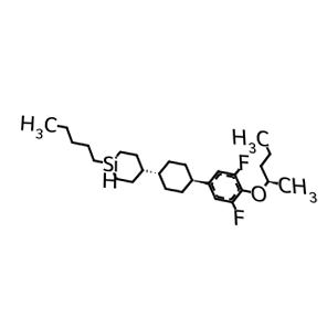 CCCCC[SiH]1CCC([C@H]2CC[C@H](c3cc(F)c(O[C@H](C)CCC)c(F)c3)CC2)CC1